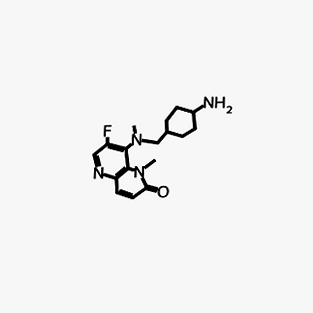 CN(CC1CCC(N)CC1)c1c(F)cnc2ccc(=O)n(C)c12